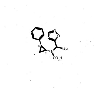 CC(C)(C)C(c1ncno1)N(C(=O)O)[C@@H]1C[C@H]1c1ccccc1